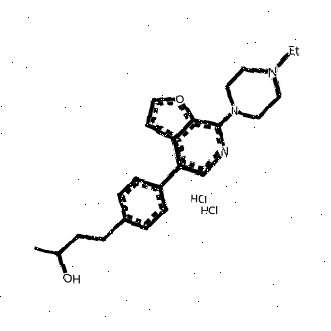 CCN1CCN(c2ncc(-c3ccc(CCC(C)O)cc3)c3ccoc23)CC1.Cl.Cl